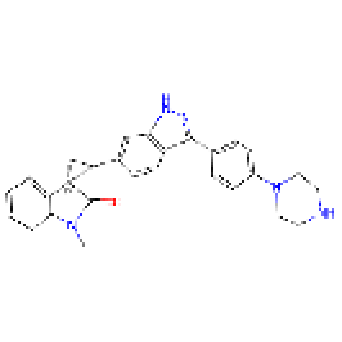 CN1C(=O)[C@@]2(CC2c2ccc3c(-c4ccc(N5CCNCC5)cc4)n[nH]c3c2)C2=CC=CCC21